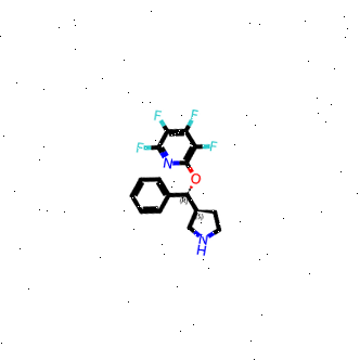 Fc1nc(O[C@@H](c2ccccc2)[C@H]2CCNC2)c(F)c(F)c1F